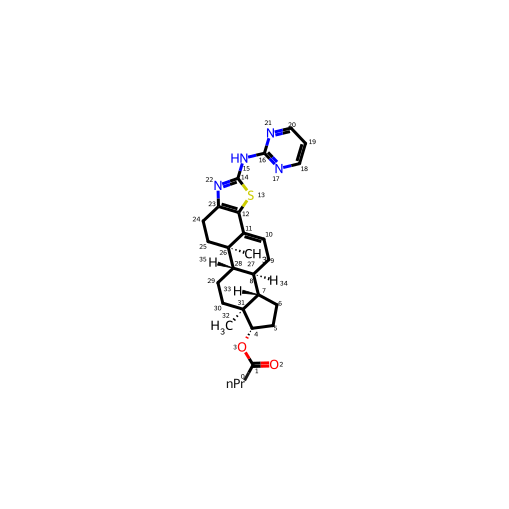 CCCC(=O)O[C@H]1CC[C@H]2[C@@H]3CC=C4c5sc(Nc6ncccn6)nc5CC[C@]4(C)[C@H]3CC[C@]12C